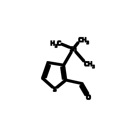 [CH3][Sn]([CH3])([CH3])[c]1ccsc1C=O